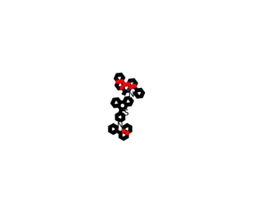 C=C(/C(=C(F)\C=C(/C)c1ccccc1)N(c1ccc2c(c1)c1ccccc1c1c3ccc(N(c4ccccc4)c4ccccc4-c4ccccc4)cc3sc21)c1ccccc1-c1ccccc1)c1ccccc1